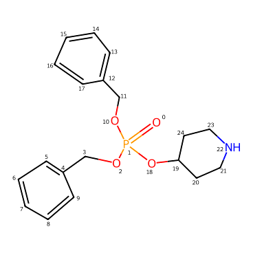 O=P(OCc1ccccc1)(OCc1ccccc1)OC1CCNCC1